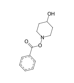 O=C(ON1CCC(O)CC1)c1ccccc1